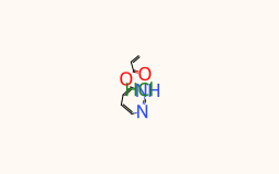 C=CC(=O)OC1=CC=CN=CN1.Cl